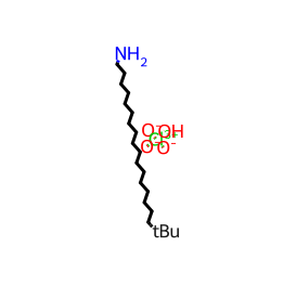 CC(C)(C)CCCCCCCCCCCCCCCCCN.[O-][Cl+3]([O-])([O-])O